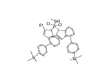 CCC1=Cc2c(-c3ccc([Si](C)(C)C)cc3)cccc2[CH]1[Zr]([Cl])([Cl])([CH]1C(C)=Cc2c(-c3ccc([Si](C)(C)C)cc3)cccc21)[SiH](C)C